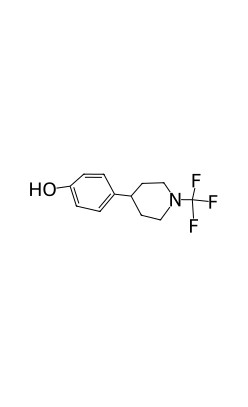 Oc1ccc(C2CCN(C(F)(F)F)CC2)cc1